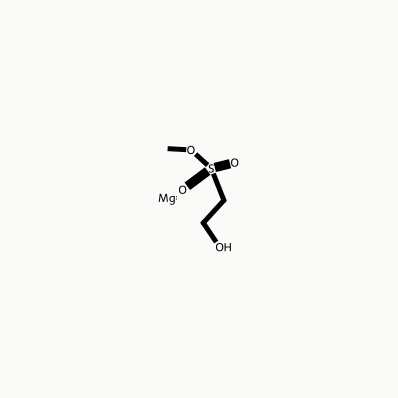 COS(=O)(=O)CCO.[Mg]